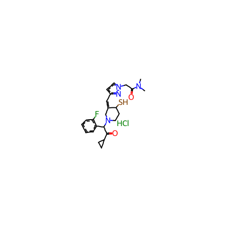 CN(C)C(=O)Cn1ccc(C=C2CN(C(C(=O)C3CC3)c3ccccc3F)CCC2S)n1.Cl